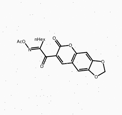 CCCCCC/C(=N\OC(C)=O)C(=O)c1cc2cc3c(cc2oc1=O)OCO3